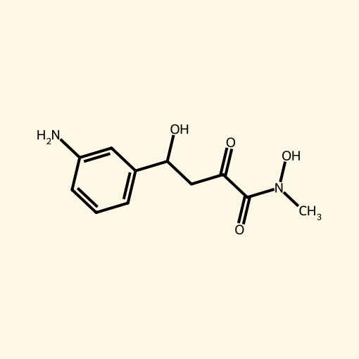 CN(O)C(=O)C(=O)CC(O)c1cccc(N)c1